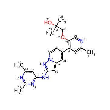 Cc1cc(-c2ccn3nc(Nc4cc(C)nc(C)n4)cc3c2)c(OCC(O)(C(F)(F)F)C(F)(F)F)cn1